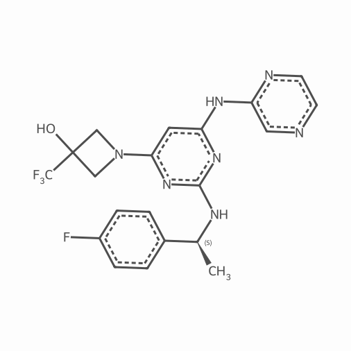 C[C@H](Nc1nc(Nc2cnccn2)cc(N2CC(O)(C(F)(F)F)C2)n1)c1ccc(F)cc1